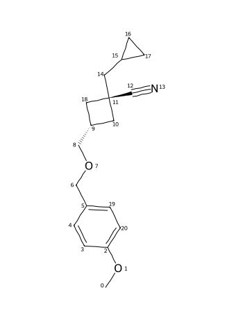 COc1ccc(COC[C@H]2C[C@@](C#N)(CC3CC3)C2)cc1